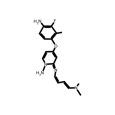 Cc1c(Oc2ccn(N)\c(=N/C=C\C=C\N(C)C)c2)ccc(N)c1F